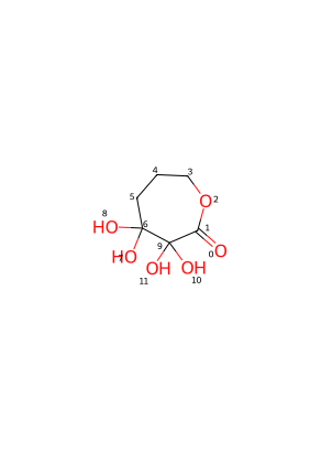 O=C1OCCCC(O)(O)C1(O)O